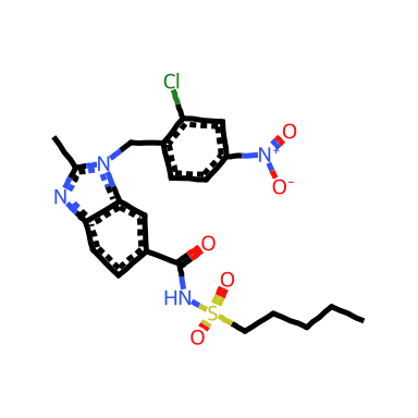 CCCCCS(=O)(=O)NC(=O)c1ccc2nc(C)n(Cc3ccc([N+](=O)[O-])cc3Cl)c2c1